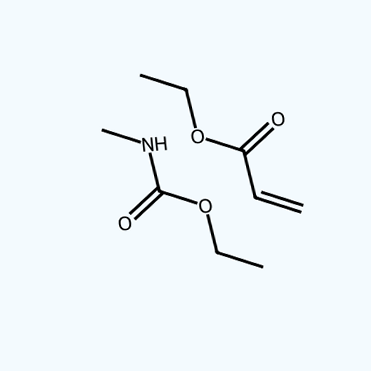 C=CC(=O)OCC.CCOC(=O)NC